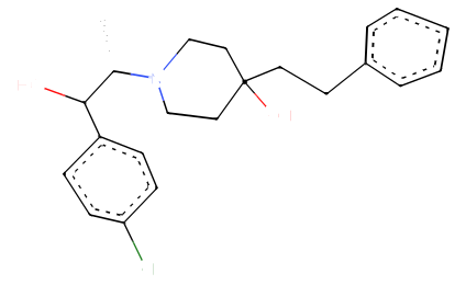 C[C@@H](C(O)c1ccc(Cl)cc1)N1CCC(O)(CCc2ccccc2)CC1